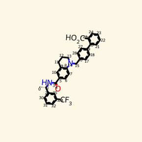 C[C@H](NC(=O)c1ccc2c(c1)CCCN2Cc1ccc(-c2ccccc2C(=O)O)cc1)c1cccc(C(F)(F)F)c1